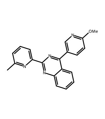 COc1ccc(-c2nc(-c3cccc(C)n3)nc3ccccc23)cn1